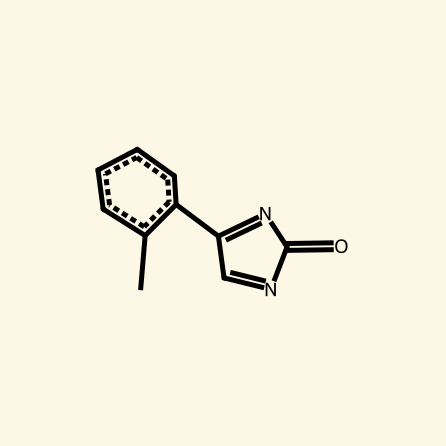 Cc1ccccc1C1=NC(=O)N=C1